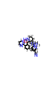 Cc1ccc(-c2ncccn2)c(C(=O)[C@]2(CNc3ccc(C#N)cn3)NCCC[C@H]2C)c1